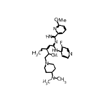 C=C/C(=C/C(=N\C(=N)c1cccc(OC)n1)Nc1ccncc1F)C(O)CN1CCC(N(C)C)CC1